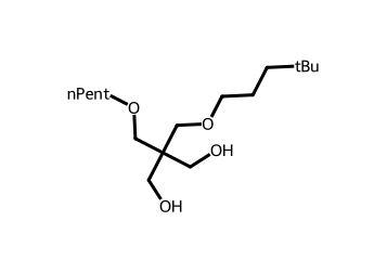 CCCCCOCC(CO)(CO)COCCCC(C)(C)C